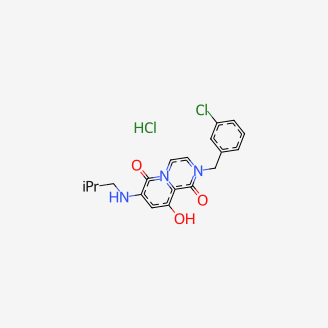 CC(C)CNc1cc(O)c2c(=O)n(Cc3cccc(Cl)c3)ccn2c1=O.Cl